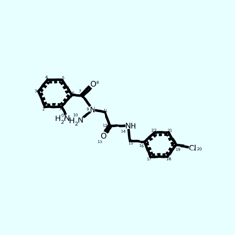 Nc1ccccc1C(=O)N(N)CC(=O)NCc1ccc(Cl)cc1